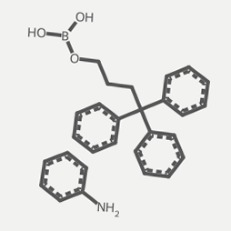 Nc1ccccc1.OB(O)OCCCC(c1ccccc1)(c1ccccc1)c1ccccc1